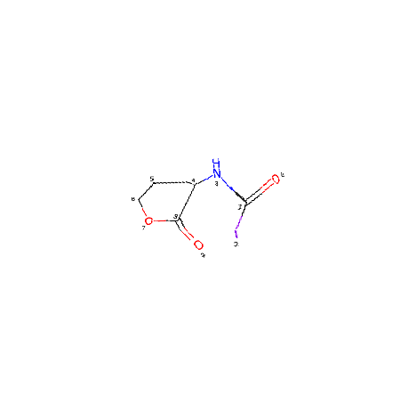 O=C(I)NC1CCOC1=O